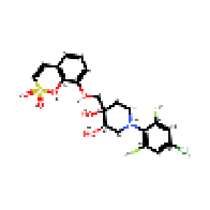 O=S1(=O)C=Cc2cccc(OC[C@]3(O)CCN(c4c(F)cc(Cl)cc4F)C[C@H]3O)c2O1